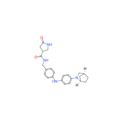 O=C1CC(C(=O)NCc2ccc(Nc3ccc(N4C[C@H]5CC[C@@H]4C5)cc3)cc2)CN1